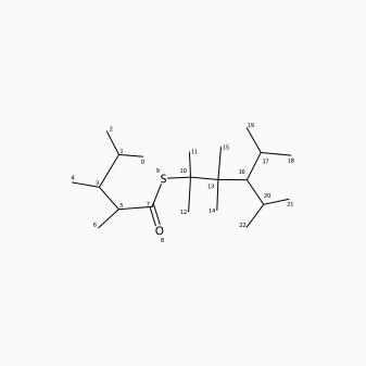 CC(C)C(C)C(C)C(=O)SC(C)(C)C(C)(C)C(C(C)C)C(C)C